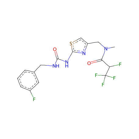 CN(Cc1csc(NC(=O)NCc2cccc(F)c2)n1)C(=O)C(F)C(F)(F)F